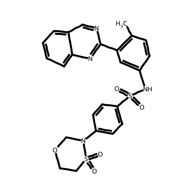 Cc1ccc(NS(=O)(=O)c2ccc(N3COCCS3(=O)=O)cc2)cc1-c1ncc2ccccc2n1